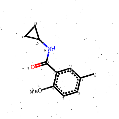 [CH2]c1ccc(OC)c(C(=O)NC2CC2)c1